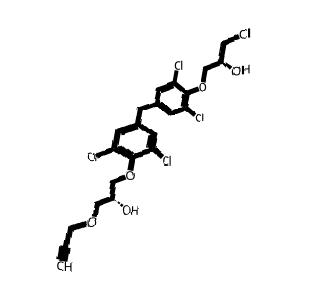 C#CCOC[C@@H](O)COc1c(Cl)cc(Cc2cc(Cl)c(OC[C@H](O)CCl)c(Cl)c2)cc1Cl